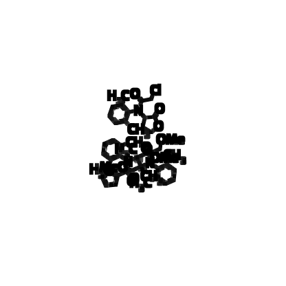 COCC(=O)N(c1c(C)cccc1C)[C@](C)(C(=O)OC)[C@](C)(C(=O)OC)N(C(=O)c1ccco1)c1c(C)cccc1C.Cc1cccc(C)c1N(C(=O)CCl)C1CCOC1=O